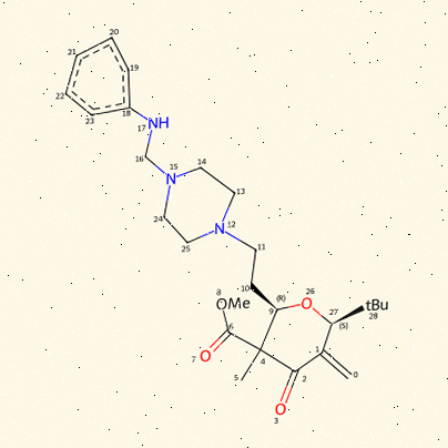 C=C1C(=O)C(C)(C(=O)OC)[C@@H](CCN2CCN(CNc3ccccc3)CC2)O[C@H]1C(C)(C)C